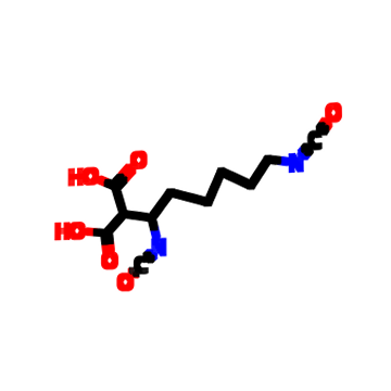 O=C=NCCCCCC(N=C=O)C(C(=O)O)C(=O)O